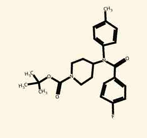 Cc1ccc(N(C(=O)c2ccc(F)cc2)C2CCN(C(=O)OC(C)(C)C)CC2)cc1